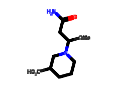 COC(CC(N)=O)N1CCCC(C(=O)O)C1